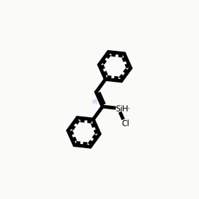 Cl[SiH]/C(=C\c1ccccc1)c1ccccc1